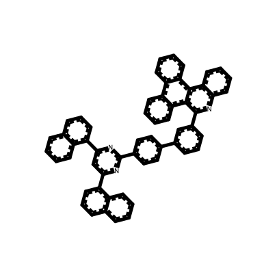 c1cc(-c2ccc(-c3nc(-c4cccc5ccccc45)cc(-c4cccc5ccccc45)n3)cc2)cc(-c2nc3ccccc3c3c4ccccc4c4ccccc4c23)c1